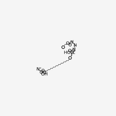 CN(CCN(C)CC(=O)OCCc1ccccc1)CCN(CC(=O)O)CC(=O)OCCc1ccc(CCCCCCCCCCCCCCCCCCOP(=O)(O)OCC[N+](C)(C)C)cc1